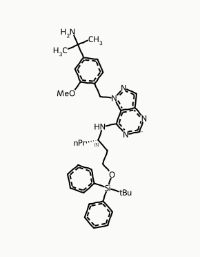 CCC[C@@H](CCO[Si](c1ccccc1)(c1ccccc1)C(C)(C)C)Nc1n[c]nc2cnn(Cc3ccc(C(C)(C)N)cc3OC)c12